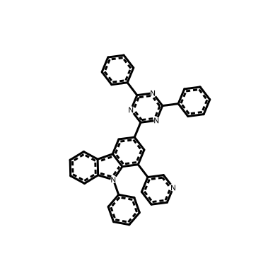 c1ccc(-c2nc(-c3ccccc3)nc(-c3cc(-c4cccnc4)c4c(c3)c3ccccc3n4-c3ccccc3)n2)cc1